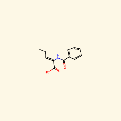 CC/C=C(\NC(=O)c1ccccc1)C(=O)O